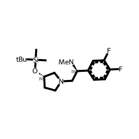 CN[C@H](CN1CC[C@H](O[Si](C)(C)C(C)(C)C)C1)c1ccc(F)c(F)c1